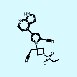 CCS(=O)(=O)N1CC(CC#N)(n2cc(-c3ccnc4[nH]ccc34)cc2C#N)C1